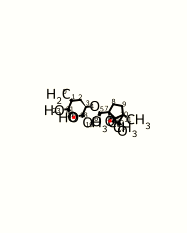 C=C(C[C@@H](OC(=O)C12CCC(C)(C(=O)O1)C2(C)C)C(=O)O)C(=O)O